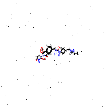 C/N=C\c1ccc(NC(=O)NCc2ccc3c(c2)C(=O)N(C2CCC(=O)NC2=O)C3=O)cc1